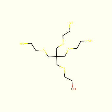 OCCSCC(CSCCS)(CSCCS)CSCCS